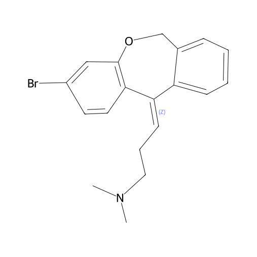 CN(C)CC/C=C1/c2ccccc2COc2cc(Br)ccc21